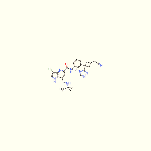 Cn1cnnc1C1(c2cccc(NC(=O)c3cc(CNC4(C)CC4)c4[nH]cc(Cl)c4n3)c2)CC(CC#N)C1